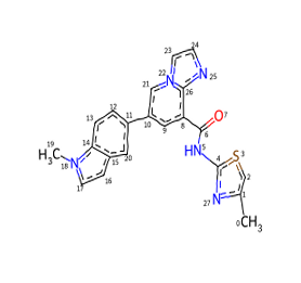 Cc1csc(NC(=O)c2cc(-c3ccc4c(ccn4C)c3)cn3ccnc23)n1